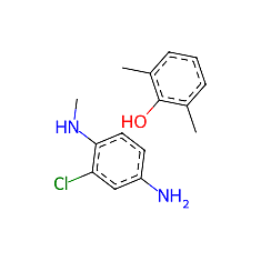 CNc1ccc(N)cc1Cl.Cc1cccc(C)c1O